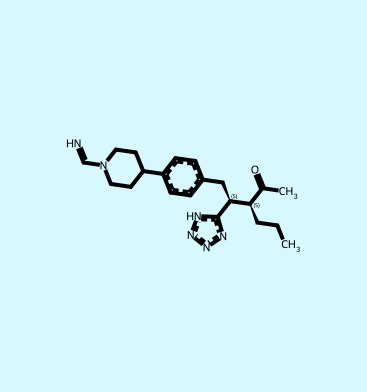 CCC[C@H](C(C)=O)[C@H](Cc1ccc(C2CCN(C=N)CC2)cc1)c1nnn[nH]1